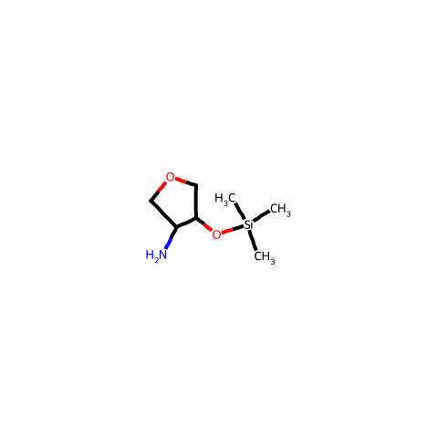 C[Si](C)(C)OC1COCC1N